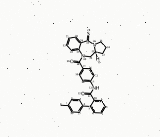 Cc1ccc(-c2ccccc2C(=O)Nc2ccc(C(=O)N3C[C@H]4CCCN4C(=S)c4ccccc43)cc2)cc1